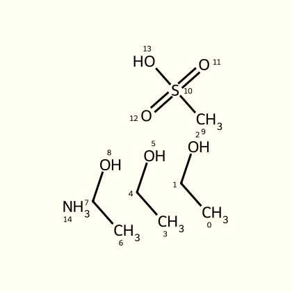 CCO.CCO.CCO.CS(=O)(=O)O.N